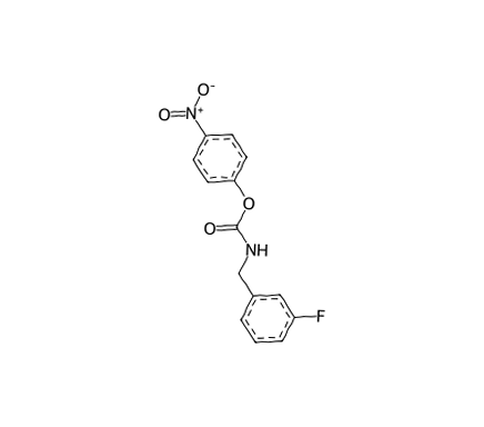 O=C(NCc1cccc(F)c1)Oc1ccc([N+](=O)[O-])cc1